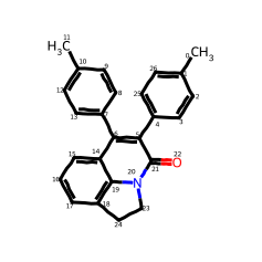 Cc1ccc(-c2c(-c3ccc(C)cc3)c3cccc4c3n(c2=O)CC4)cc1